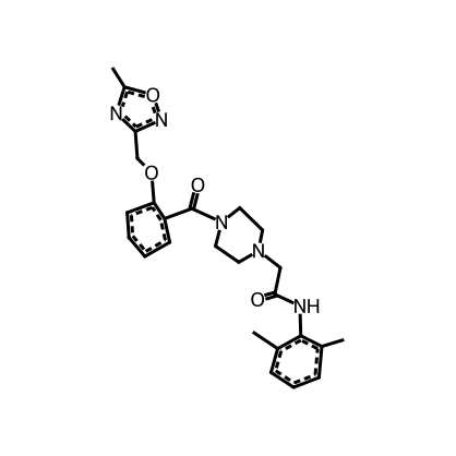 Cc1nc(COc2ccccc2C(=O)N2CCN(CC(=O)Nc3c(C)cccc3C)CC2)no1